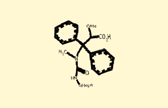 CCCCCCCNC(=O)N(C)C(c1ccccc1)(c1ccccc1)C(OC)C(=O)O